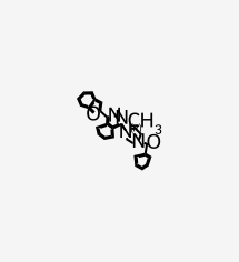 C[C@@H]1CN(C(=O)c2ccccc2)CCN1c1nnc(-c2cc3ccccc3o2)c2ccccc12